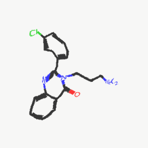 NCCCn1c(-c2cccc(Cl)c2)nc2ccccc2c1=O